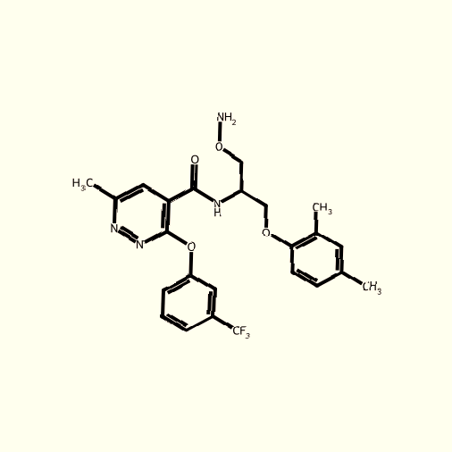 Cc1ccc(OCC(CON)NC(=O)c2cc(C)nnc2Oc2cccc(C(F)(F)F)c2)c(C)c1